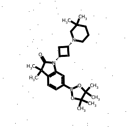 CC1(C)CCCN([C@H]2C[C@@H](N3C(=O)C(C)(C)c4ccc(B5OC(C)(C)C(C)(C)O5)cc43)C2)C1